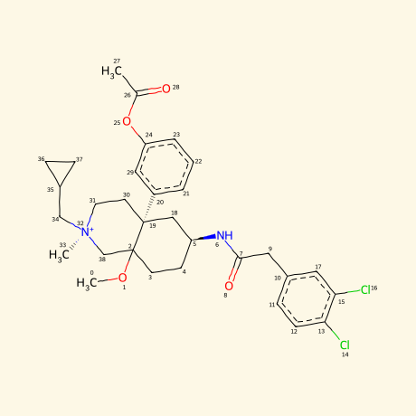 COC12CC[C@H](NC(=O)Cc3ccc(Cl)c(Cl)c3)C[C@]1(c1cccc(OC(C)=O)c1)CC[N@+](C)(CC1CC1)C2